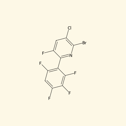 Fc1cc(Cl)c(Br)nc1-c1c(F)cc(F)c(F)c1F